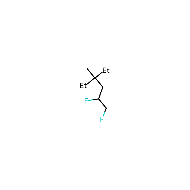 CCC(C)(CC)CC(F)CF